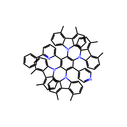 Cc1cccc2c1c1c(C)cccc1n2-c1c(-c2ccncc2)c(-n2c3cccc(C)c3c3c(C)cccc32)c(-n2c3cccc(C)c3c3c(C)cccc32)c(-c2cccc(-c3ccccc3)n2)c1-n1c2cccc(C)c2c2c(C)cccc21